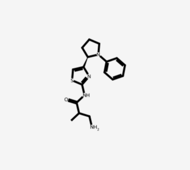 CC(CN)C(=O)Nc1nc([C@H]2CCCN2c2ccccc2)cs1